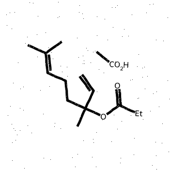 C=CC(C)(CCC=C(C)C)OC(=O)CC.CC(=O)O